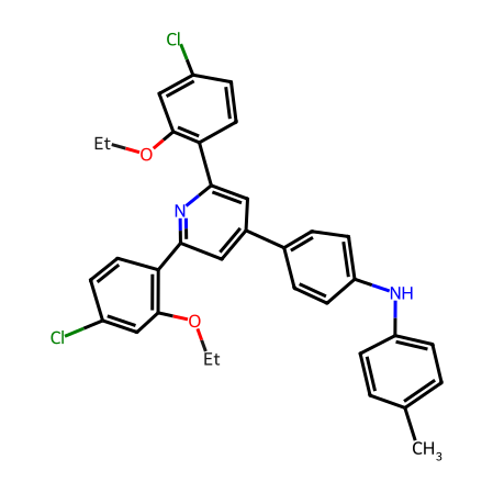 CCOc1cc(Cl)ccc1-c1cc(-c2ccc(Nc3ccc(C)cc3)cc2)cc(-c2ccc(Cl)cc2OCC)n1